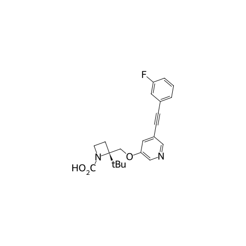 CC(C)(C)[C@]1(COc2cncc(C#Cc3cccc(F)c3)c2)CCN1C(=O)O